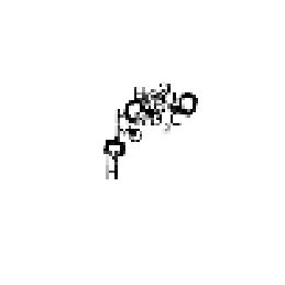 CCOC(=O)C1(COS(=O)(=O)ON2C(=O)N3C[C@H]2CC[C@H]3C(=O)NC2CCNCC2)CCCCC1